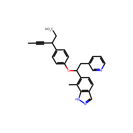 CC#CC(CC(=O)O)c1ccc(OC(Cc2cccnc2)c2ccc3cn[nH]c3c2C)cc1